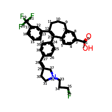 O=C(O)c1ccc2c(c1)CCCC(c1cccc(C(F)(F)F)c1)=C2c1ccc(C=C2CCN(CCCF)C2)cc1